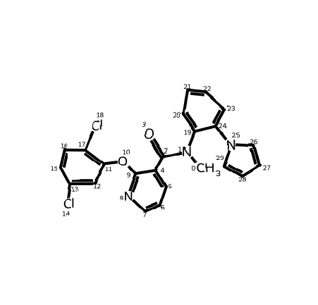 CN(C(=O)c1cccnc1Oc1cc(Cl)ccc1Cl)c1ccccc1-n1cccc1